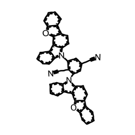 N#Cc1cc(-n2c3ccccc3c3c4oc5ccccc5c4ccc32)c(C#N)c(-n2c3ccccc3c3c4oc5ccccc5c4ccc32)c1